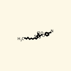 CCCCCCCc1cc2sc(C(=O)Oc3ccc(C#N)cc3)c(Cl)c2s1